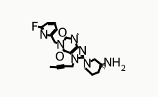 CC#CCn1c(N2CCC[C@@H](N)C2)nc2c1c(=O)n(Cc1cccc(F)n1)c(=O)n2C